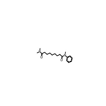 CN(C)C(=O)CCCCCCCC(=O)N(C)c1ccccc1